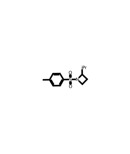 Cc1ccc(S(=O)(=O)N2CCC2C(C)C)cc1